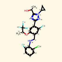 C[C@H](O)c1nc(-c2cc(O[C@@H](C)C(F)(F)F)c(CNc3c(F)cccc3Cl)cc2F)nn1C1CC1